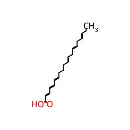 CCC=CCC=CCC=CCCCC=CC=CC=CC(=O)O